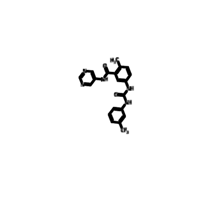 Cc1ccc(NC(=O)Nc2cccc(C(F)(F)F)c2)cc1C(=O)Nc1cncnc1